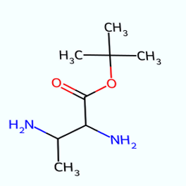 CC(N)C(N)C(=O)OC(C)(C)C